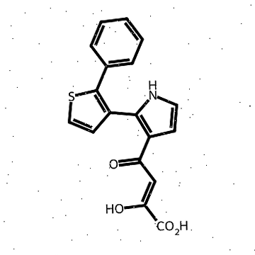 O=C(O)C(O)=CC(=O)c1cc[nH]c1-c1ccsc1-c1ccccc1